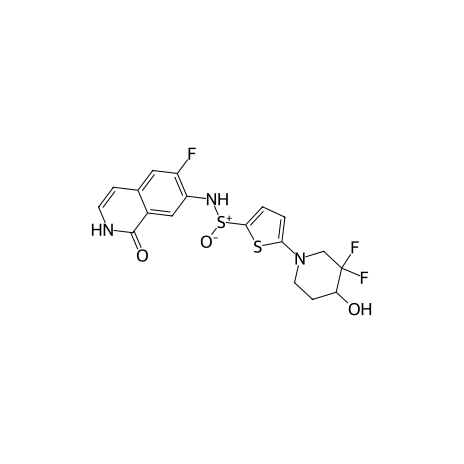 O=c1[nH]ccc2cc(F)c(N[S+]([O-])c3ccc(N4CCC(O)C(F)(F)C4)s3)cc12